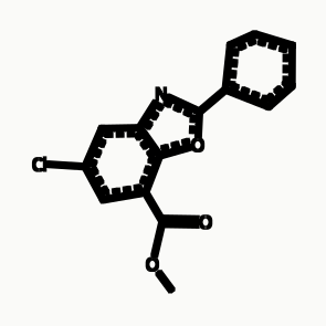 COC(=O)c1cc(Cl)cc2nc(-c3ccccc3)oc12